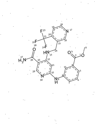 COC(=O)c1cccc(Nc2cc(NCc3cnccc3C(F)(F)F)c(C(N)=O)cn2)c1